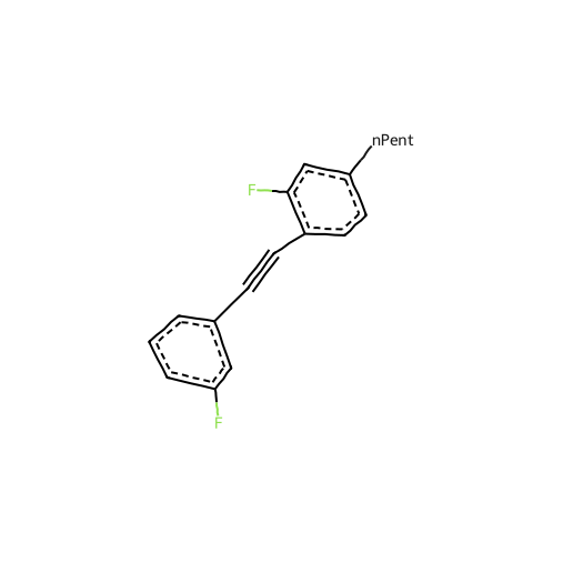 CCCCCc1ccc(C#Cc2cccc(F)c2)c(F)c1